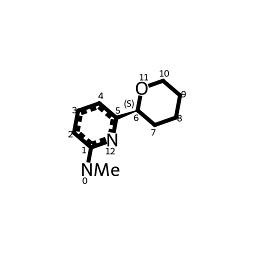 CNc1cccc([C@@H]2CCCCO2)n1